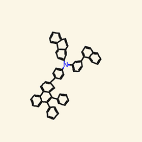 c1ccc(-c2c(-c3ccccc3)c3cc(-c4ccc(N(c5cccc(-c6cccc7ccccc67)c5)c5ccc6c(ccc7ccccc76)c5)cc4)ccc3c3ccccc23)cc1